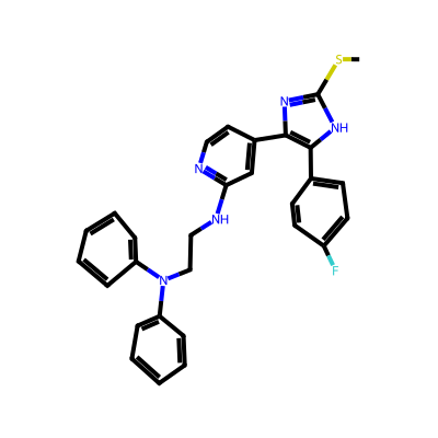 CSc1nc(-c2ccnc(NCCN(c3ccccc3)c3ccccc3)c2)c(-c2ccc(F)cc2)[nH]1